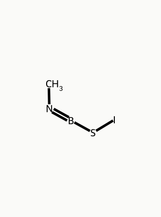 CN=BSI